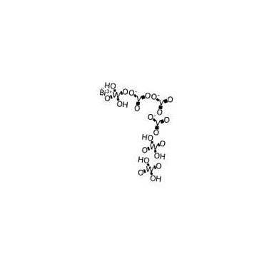 [Bi+3].[O]=[V](=[O])[O-].[O]=[V](=[O])[O-].[O]=[V](=[O])[O-].[O]=[W](=[O])([OH])[OH].[O]=[W](=[O])([OH])[OH].[O]=[W](=[O])([OH])[OH]